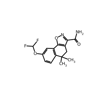 CC1(C)Cc2c(C(N)=O)noc2-c2cc(OC(F)F)ccc21